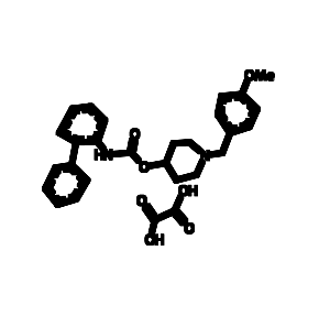 COc1ccc(CN2CCC(OC(=O)Nc3ccccc3-c3ccccc3)CC2)cc1.O=C(O)C(=O)O